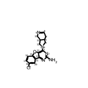 Nc1nc(N2CC3CC=NCC3C2)c2oc3ccc(Cl)cc3c2n1